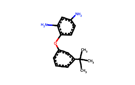 CC(C)(C)c1[c]ccc(Oc2ccc(N)cc2N)c1